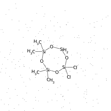 C[Si]1(C)O[SiH2]O[Si](Cl)(Cl)O[Si](C)(C)O1